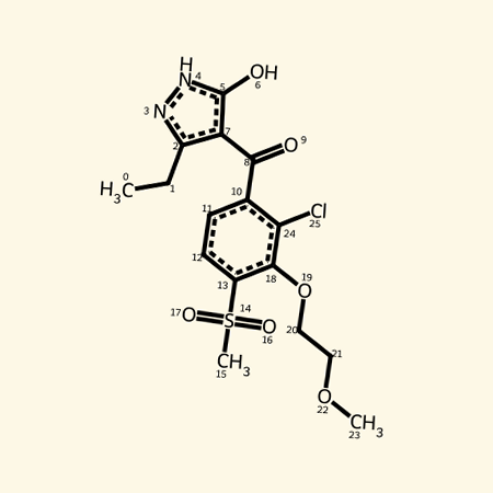 CCc1n[nH]c(O)c1C(=O)c1ccc(S(C)(=O)=O)c(OCCOC)c1Cl